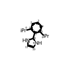 CC(C)c1cccc(C(C)C)c1C1NC=CN1